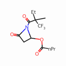 CCCC(=O)OC1CC(=O)N1C(=O)C(C)(CC)C(F)(F)F